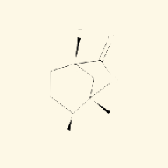 O=C1O[C@H]2C[C@]1(F)CC[C@@H]2I